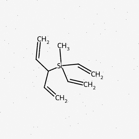 C=CC(C=C)[Si](C)(C=C)C=C